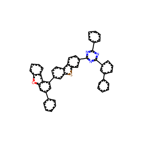 c1ccc(-c2cccc(-c3nc(-c4ccccc4)nc(-c4ccc5c(c4)sc4cc(-c6cc(-c7ccccc7)cc7oc8ccccc8c67)ccc45)n3)c2)cc1